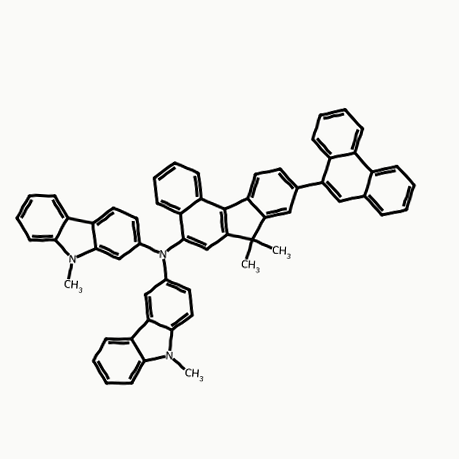 Cn1c2ccccc2c2cc(N(c3ccc4c5ccccc5n(C)c4c3)c3cc4c(c5ccccc35)-c3ccc(-c5cc6ccccc6c6ccccc56)cc3C4(C)C)ccc21